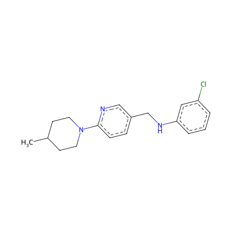 CC1CCN(c2ccc(CNc3cccc(Cl)c3)cn2)CC1